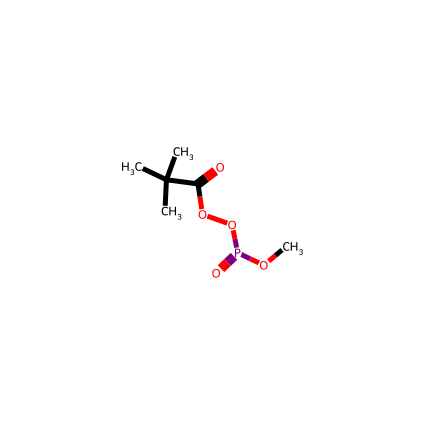 CO[P](=O)OOC(=O)C(C)(C)C